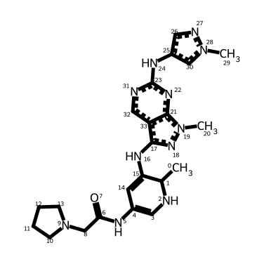 CC1NC=C(NC(=O)CN2CCCC2)C=C1Nc1nn(C)c2nc(Nc3cnn(C)c3)ncc12